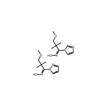 COCC(C)(C)C(=NO)n1cccn1.COCC(C)(C)C(=NO)n1ccnc1